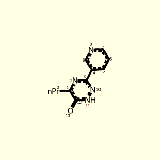 CCCc1nc(-c2cccnc2)n[nH]c1=O